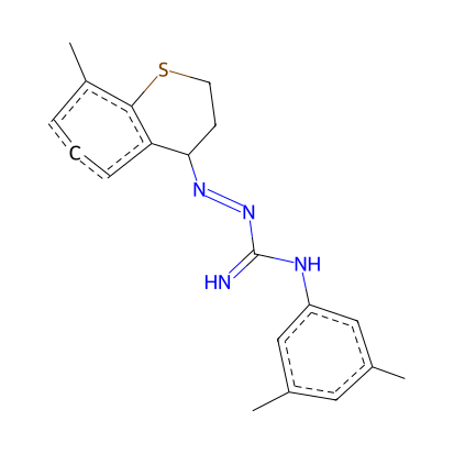 Cc1cc(C)cc(NC(=N)N=NC2CCSc3c(C)cccc32)c1